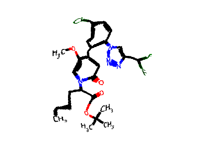 CCCCC(C(=O)OC(C)(C)C)n1cc(OC)c(-c2cc(Cl)ccc2-n2cc(C(F)F)nn2)cc1=O